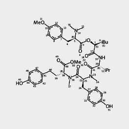 CC[C@H](C)[C@H](OC(=O)[C@@H](Cc1ccc(OC)cc1)N(C)C)C(=O)N[C@@H](C(=O)N(C)[C@@H](Cc1ccc(O)cc1)C(=O)N(C)[C@H](CCc1ccc(O)cc1)C(=O)OC)C(C)C